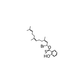 CC(C)=CCCC(C)=CCCC(C)=CC(Br)OC(=S)c1ccccc1O